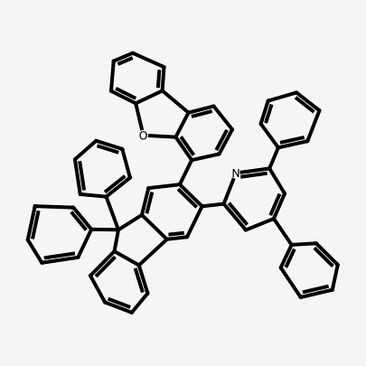 c1ccc(-c2cc(-c3ccccc3)nc(-c3cc4c(cc3-c3cccc5c3oc3ccccc35)C(c3ccccc3)(c3ccccc3)c3ccccc3-4)c2)cc1